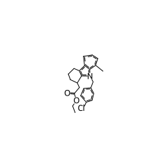 CCOC(=O)CC1CCCc2c1n(Cc1ccc(Cl)cc1)c1c(C)cccc21